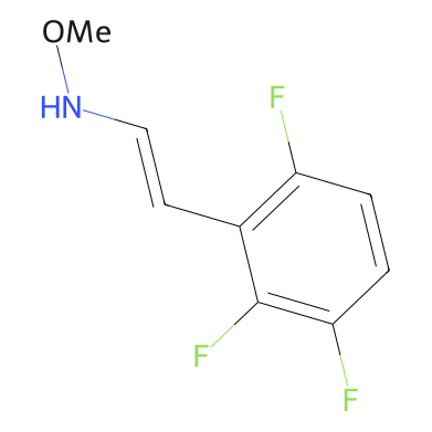 CON/C=C/c1c(F)ccc(F)c1F